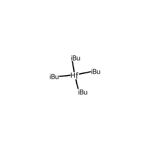 CC[CH](C)[Hf]([CH](C)CC)([CH](C)CC)[CH](C)CC